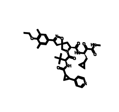 CCOc1c(C)cc(C2=NO[C@]3(C2)C[C@@H](C(=O)N[C@@H](CC2CC2)C(=O)C(=O)NC)N(C(=O)[C@@H](NC(=O)C2CC2c2ccncc2)C(C)(C)C)C3)cc1C